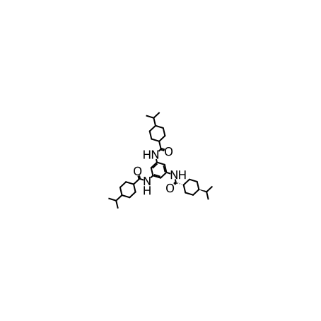 CC(C)C1CCC(C(=O)Nc2cc(NC(=O)C3CCC(C(C)C)CC3)cc(NC(=O)[C@H]3CC[C@H](C(C)C)CC3)c2)CC1